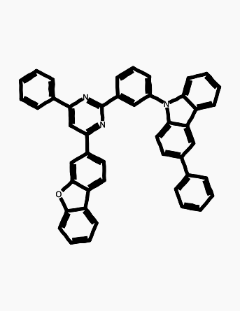 c1ccc(-c2ccc3c(c2)c2ccccc2n3-c2cccc(-c3nc(-c4ccccc4)cc(-c4ccc5c(c4)oc4ccccc45)n3)c2)cc1